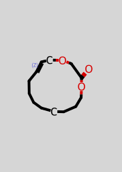 O=C1COC/C=C\CCCCCCCCO1